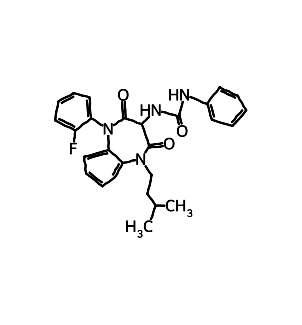 CC(C)CCN1C(=O)C(NC(=O)Nc2ccccc2)C(=O)N(c2ccccc2F)c2ccccc21